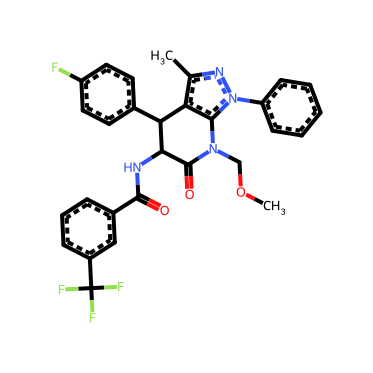 COCN1C(=O)C(NC(=O)c2cccc(C(F)(F)F)c2)C(c2ccc(F)cc2)c2c(C)nn(-c3ccccc3)c21